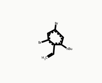 C=Cc1c(Br)cc(Br)cc1CCCC